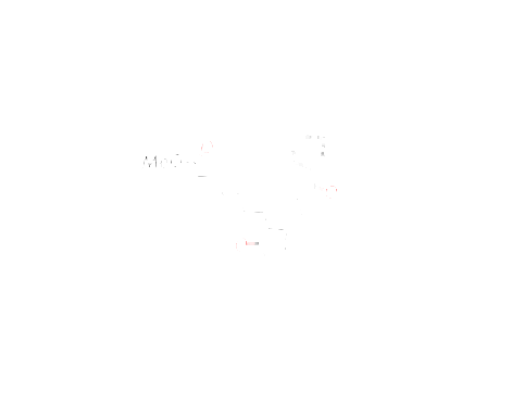 COC(=O)CCCCCCC1C(=O)CCC1C=CC(=O)c1ccccc1